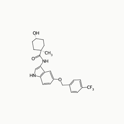 C[C@]1(C(=O)Nc2c[nH]c3ccc(OCc4ccc(C(F)(F)F)cc4)cc23)CC[C@H](O)CC1